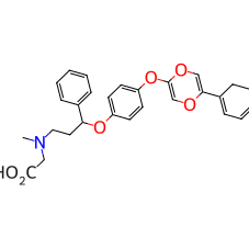 CN(CCC(Oc1ccc(OC2=COC(C3=CC=CCC3)=CO2)cc1)c1ccccc1)CC(=O)O